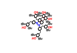 CC(C)(C)c1cc(Cc2ccc(N(CN(c3ccc(Cc4cc(C(C)(C)C)c(O)c(C(C)(C)C)c4)cc3)c3ccc(Cc4cc(C(C)(C)C)c(O)c(C(C)(C)C)c4)cc3Cc3cc(C(C)(C)C)c(O)c(C(C)(C)C)c3)c3ccc(Cc4cc(C(C)(C)C)c(O)c(C(C)(C)C)c4)cc3Cc3cc(C(C)(C)C)c(O)c(C(C)(C)C)c3)cc2)cc(C(C)(C)C)c1O